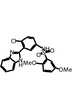 COc1ccc(OC)c(S(=O)(=O)Nc2ccc(Cl)c(-c3nc4ccccc4[nH]3)c2)c1